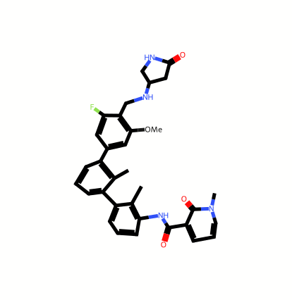 COc1cc(-c2cccc(-c3cccc(NC(=O)c4cccn(C)c4=O)c3C)c2C)cc(F)c1CNC1CNC(=O)C1